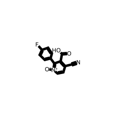 N#Cc1cc[n+]([O-])c(-c2ccc(F)cc2)c1C(=O)O